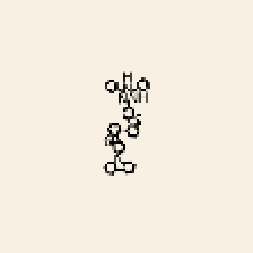 c1ccc(C2=NC(c3ccc4c(c3)sc3cccc(-c5cccc6oc7cc(-n8c9ccccc9c9ccccc98)ccc7c56)c34)NC(c3ccccc3)N2)cc1